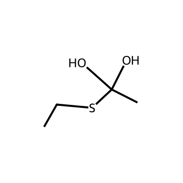 CCSC(C)(O)O